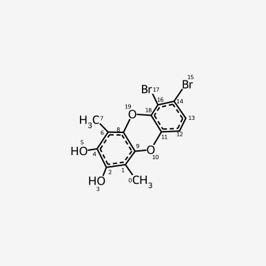 Cc1c(O)c(O)c(C)c2c1Oc1ccc(Br)c(Br)c1O2